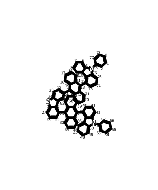 c1ccc(-n2c3ccccc3c3c(-c4c5ccccc5c(-c5ccc6sc7cccc(-c8c9ccccc9c(-c9cccc%10c9c9ccccc9n%10-c9ccccc9)c9ccccc89)c7c6c5)c5ccccc45)cccc32)cc1